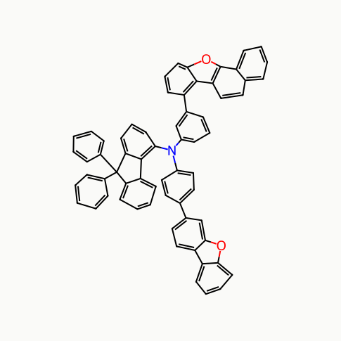 c1ccc(C2(c3ccccc3)c3ccccc3-c3c(N(c4ccc(-c5ccc6c(c5)oc5ccccc56)cc4)c4cccc(-c5cccc6oc7c8ccccc8ccc7c56)c4)cccc32)cc1